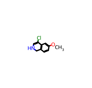 COc1ccc2c(c1)C(Cl)=CNC2